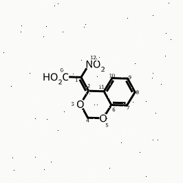 O=C(O)C(=C1OCOc2ccccc21)[N+](=O)[O-]